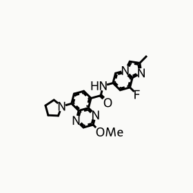 COc1cnc2c(N3CCCC3)ccc(C(=O)Nc3cc(F)c4nc(C)cn4c3)c2n1